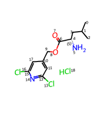 CC(C)C[C@H](N)C(=O)OCc1cc(Cl)nc(Cl)c1.Cl